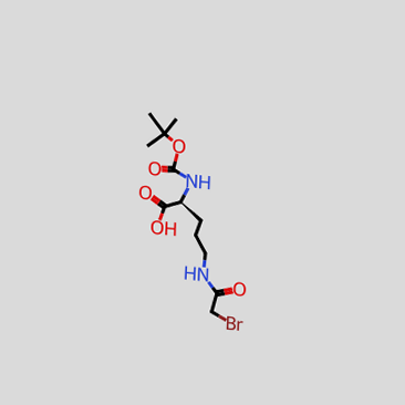 CC(C)(C)OC(=O)N[C@@H](CCCNC(=O)CBr)C(=O)O